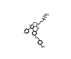 CC(C)c1ccc(COc2ccc(-c3c(-c4ccncc4)nn4c3C(=O)N(CCCC(C)(C)[Si](C)(C)O)CC4)c(F)c2)cc1